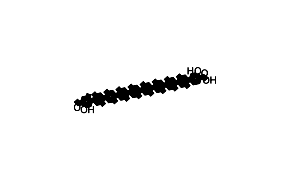 CC(=O)c1cc(C)c(-c2cc(C)c(-c3cc(C)c(-c4cc(C)c(-c5cc(C)c(-c6cc(C)c(-c7cc(C)c(-c8cc(C)c(-c9cc(C)c(-c%10ccc(C(=O)O)c(O)c%10)cc9C)cc8C)cc7C)cc6C)cc5C)cc4C)cc3C)cc2C)cc1O